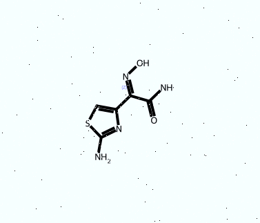 [NH]C(=O)/C(=N\O)c1csc(N)n1